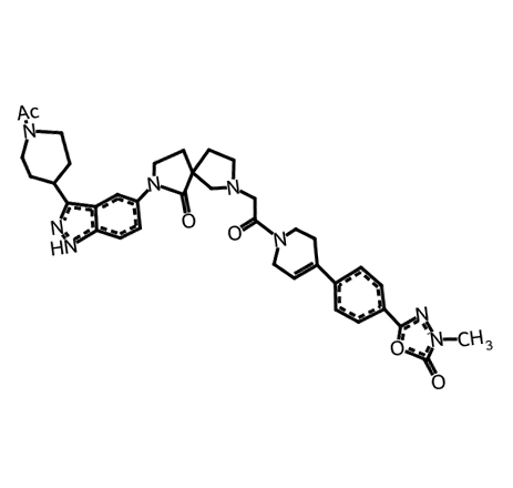 CC(=O)N1CCC(c2n[nH]c3ccc(N4CCC5(CCN(CC(=O)N6CC=C(c7ccc(-c8nn(C)c(=O)o8)cc7)CC6)C5)C4=O)cc23)CC1